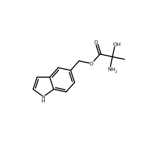 CC(N)(O)C(=O)OCc1ccc2[nH]ccc2c1